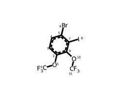 FC(F)(F)Oc1ccc(Br)c(I)c1OC(F)(F)F